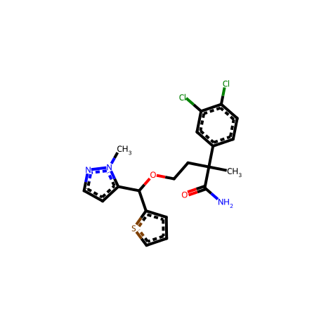 Cn1nccc1C(OCCC(C)(C(N)=O)c1ccc(Cl)c(Cl)c1)c1cccs1